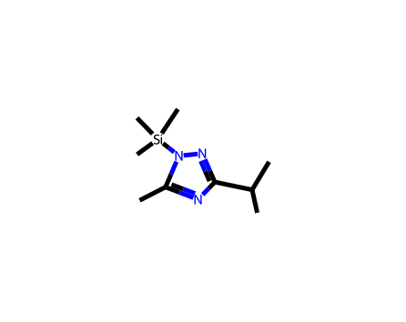 Cc1nc(C(C)C)nn1[Si](C)(C)C